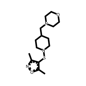 Cc1noc(C)c1SN1CCC(CN2CCOCC2)CC1